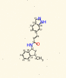 CC1CC(NC(=O)/C=C/c2ccc3cn[nH]c3c2)c2ccccc21